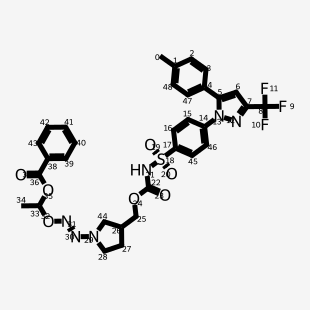 Cc1ccc(-c2cc(C(F)(F)F)nn2-c2ccc(S(=O)(=O)NC(=O)OCC3CCN(N=NOC(C)OC(=O)c4ccccc4)C3)cc2)cc1